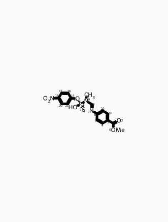 COC(=O)c1ccc(N=CN(C)P(O)(=S)Oc2ccc([N+](=O)[O-])cc2)cc1